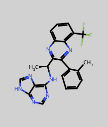 Cc1ccccc1-c1nc2c(C(F)(F)F)cccc2nc1[C@H](C)Nc1ncnc2[nH]cnc12